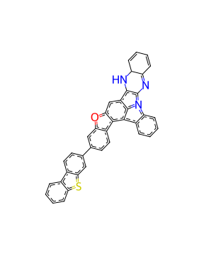 C1=CC2=Nc3c(c4cc5oc6cc(-c7ccc8c(c7)sc7ccccc78)ccc6c5c5c6ccccc6n3c45)NC2C=C1